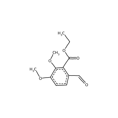 CCOC(=O)c1c(C=O)ccc(OC)c1OC